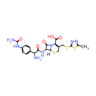 Cc1nnc(SCC2=C(C(=O)O)N3C(=O)C(NC(=O)C(N)c4ccc(NC(N)=O)cc4)[C@@H]3SC2)s1